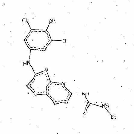 CCNC(=S)Nc1ccc2ncc(Nc3cc(Cl)c(O)c(Cl)c3)nc2n1